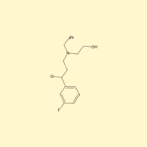 CC(C)CN(CCO)CCC([O])c1cccc(F)c1